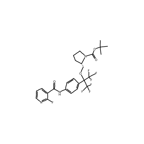 CC(C)(C)OC(=O)N1CCC[C@H]1COC(c1ccc(NC(=O)c2cccnc2F)cc1)(C(F)(F)F)C(F)(F)F